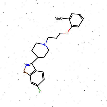 COc1c[c]ccc1OCCCN1CCC(c2nsc3cc(F)ccc23)CC1